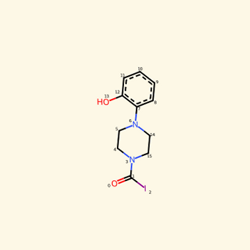 O=C(I)N1CCN(c2ccccc2O)CC1